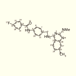 CNc1nc(NCc2ccc(NC(=O)c3ccc(F)cc3)cc2)c2ccc(C)cc2n1